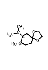 CN(C)[C@H]1CC2(CC[C@@H]1O)OCCO2